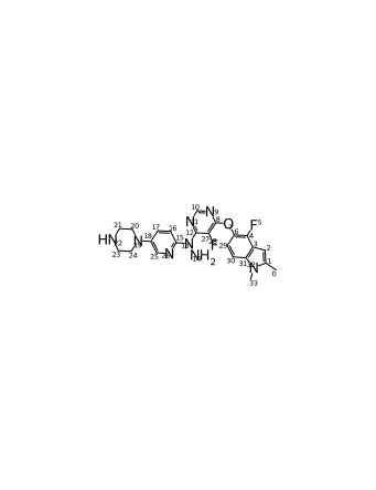 Cc1cc2c(F)c(Oc3ncnc(N(N)c4ccc(N5CCNCC5)cn4)c3F)ccc2n1C